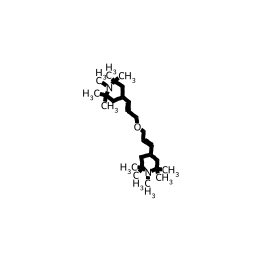 CN1C(C)(C)CC(C=CCOCC=CC2CC(C)(C)N(C)C(C)(C)C2)CC1(C)C